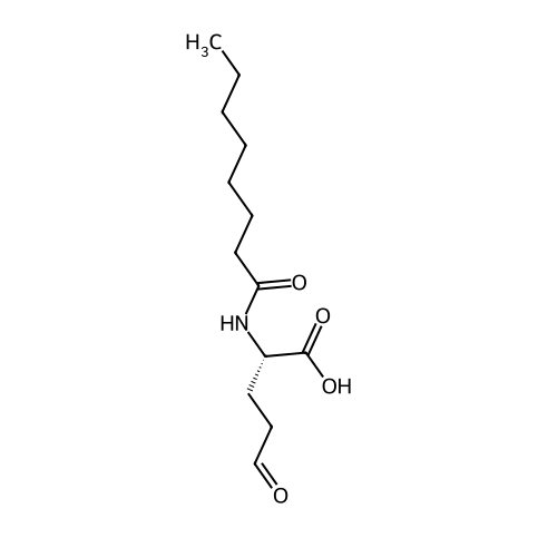 CCCCCCCC(=O)N[C@@H](CCC=O)C(=O)O